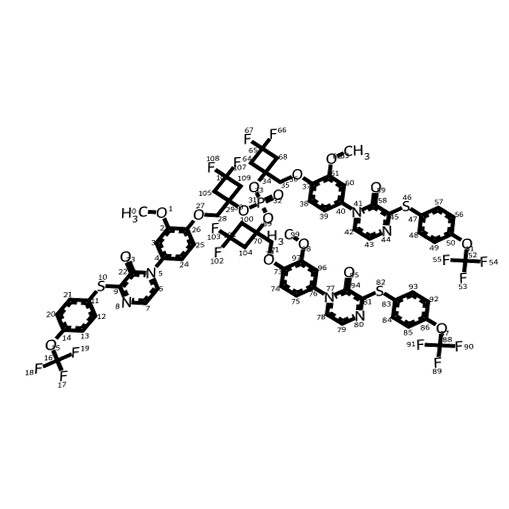 COc1cc(-n2ccnc(Sc3ccc(OC(F)(F)F)cc3)c2=O)ccc1OCC1(OP(=O)(OC2(COc3ccc(-n4ccnc(Sc5ccc(OC(F)(F)F)cc5)c4=O)cc3OC)CC(F)(F)C2)OC2(COc3ccc(-n4ccnc(Sc5ccc(OC(F)(F)F)cc5)c4=O)cc3OC)CC(F)(F)C2)CC(F)(F)C1